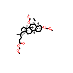 CC[C@H]1[C@@H](OCOC)[C@@H]2[C@H](CC[C@]3(C)[C@@H]([C@H](C)CCC(=O)OCOC)CC[C@@H]23)[C@@]2(C)CC[C@@H](OCOC)C[C@@H]12